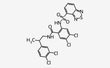 CC(CNC(=O)c1cc(Cl)c(Cl)cc1NS(=O)(=O)c1cccc2nsnc12)c1ccc(Cl)c(Cl)c1